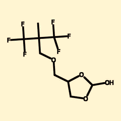 CC(COCC1COC(O)O1)(C(F)(F)F)C(F)(F)F